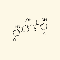 O=C(CN1CCc2c([nH]c3ccc(Cl)cc23)C1CO)Nc1cc(Cl)ccc1O